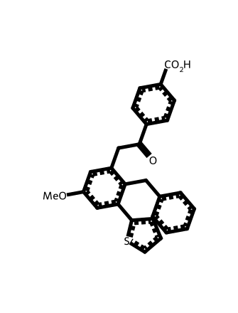 COc1cc(CC(=O)c2ccc(C(=O)O)cc2)c(Cc2ccccc2)c(-c2cccs2)c1